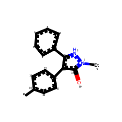 CCn1[nH]c(-c2ccccc2)c(-c2ccc(C)cc2)c1=O